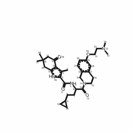 Cc1c(C(=O)NC(CCC2CC2)C(=O)N2CCc3cc(OCCN(C)C)ccc3C2)[nH]c2c1C(=O)CC(C)(C)C2